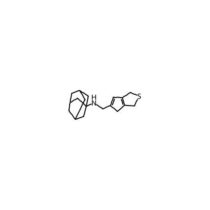 C1=C(CNC23CC4CC(CC(C4)C2)C3)CC2=C1CSC2